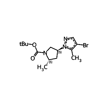 Cc1c(Br)cnn1[C@H]1C[C@H](C)N(C(=O)OC(C)(C)C)C1